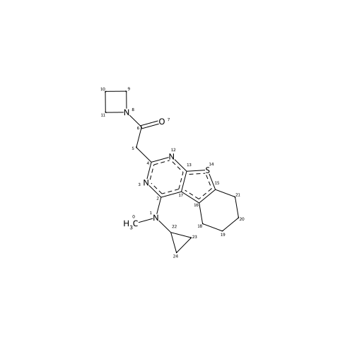 CN(c1nc(CC(=O)N2CCC2)nc2sc3c(c12)CCCC3)C1CC1